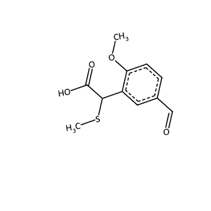 COc1ccc(C=O)cc1C(SC)C(=O)O